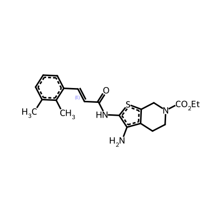 CCOC(=O)N1CCc2c(sc(NC(=O)/C=C/c3cccc(C)c3C)c2N)C1